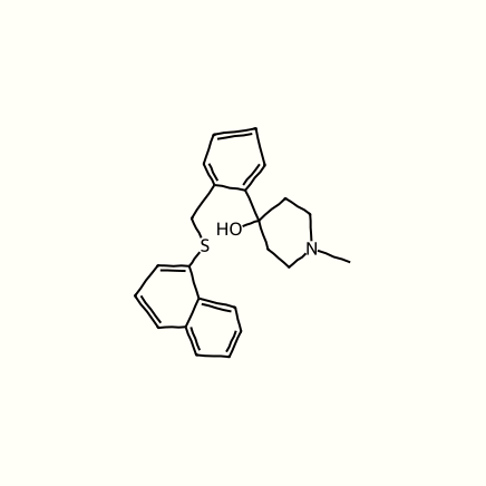 CN1CCC(O)(c2ccccc2CSc2cccc3ccccc23)CC1